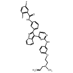 C=CCN(C)CCOc1cccc(Nc2nccc(-c3c(-c4cccc(NC(=O)c5cc(F)ccc5F)c4)nn4ccccc34)n2)c1